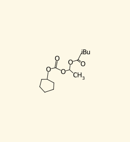 CCC(C)C(=O)OC(C)OC(=O)OC1CCCCC1